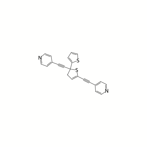 C(#Cc1ccncc1)C1=CCC(C#Cc2ccncc2)(c2cccs2)S1